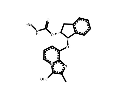 Cc1nc2c(O[C@@H]3c4ccccc4C[C@H]3OC(=O)NC(C)(C)C)cccn2c1C=O